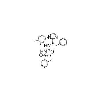 Cc1ccc(-n2ccnc2[C@H](Cc2ccccc2)NC(=O)NS(=O)(=O)c2ccccc2C)cc1C